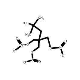 CC(C)(C)CC(CO[N+](=O)[O-])(CO[N+](=O)[O-])CO[N+](=O)[O-]